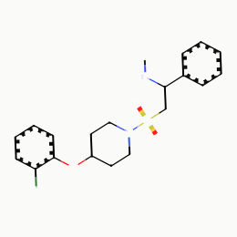 O=C(O)NC(CS(=O)(=O)N1CCC(Oc2ccccc2Cl)CC1)c1ccccc1